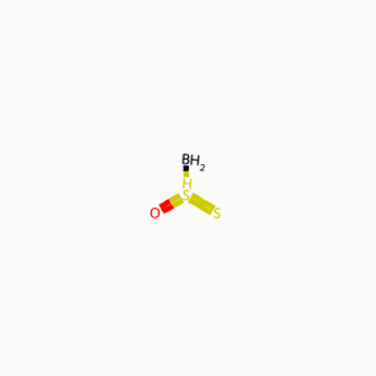 B[SH](=O)=S